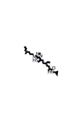 C=C/C=C(/C)CCCNc1ncnc2c(/C=C/C(C=C)=C/C=C(\C)C(=O)NC3CC3)csc12